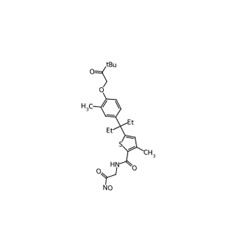 CCC(CC)(c1ccc(OCC(=O)C(C)(C)C)c(C)c1)c1cc(C)c(C(=O)NCC(=O)N=O)s1